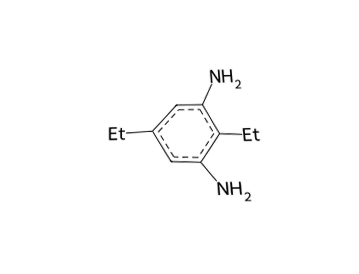 CCc1cc(N)c(CC)c(N)c1